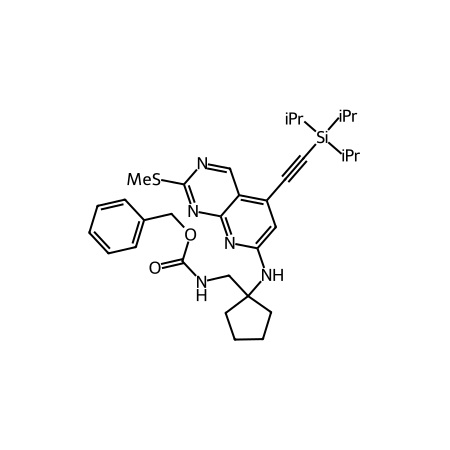 CSc1ncc2c(C#C[Si](C(C)C)(C(C)C)C(C)C)cc(NC3(CNC(=O)OCc4ccccc4)CCCC3)nc2n1